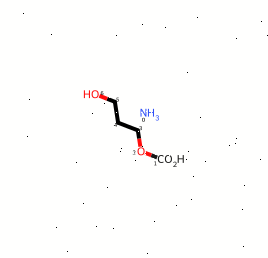 N.O=C(O)OCCCO